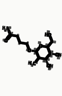 CC1[C@H](OCCCC(N)=O)OC(CO)[C@H](O)[C@@H]1O